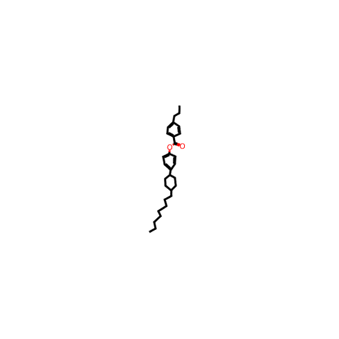 CCCCCCCCC1CCC(c2ccc(OC(=O)c3ccc(CCC)cc3)cc2)CC1